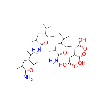 CCC(CC(C)C(N)=O)C(C)C.CCC(CC(C)C(N)=O)C(C)C.CCC(CC(C)C(N)=O)C(C)C.O=C(O)CC(CC(=O)O)C(=O)O